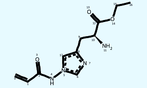 C=CC(=O)Nn1cnc(C[C@H](N)C(=O)OCC)c1